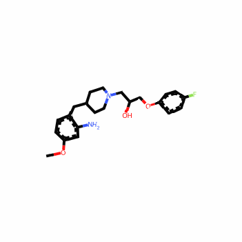 COc1ccc(CC2CCN(CC(O)COc3ccc(F)cc3)CC2)c(N)c1